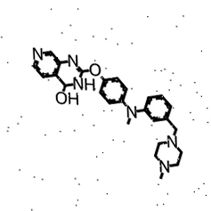 CN1CCN(Cc2cccc(N(C)c3ccc(OC4=Nc5cnccc5C(O)N4)cc3)c2)CC1